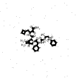 CC(C)[C@@H](CS(=O)(=O)c1ccccc1)NC(=O)N[C@H](C(=O)N1C[C@H]2C([C@H]1C(=O)NC(CC1CCC1)C(=O)C(N)=O)C2(C)C)C1CCCCC1